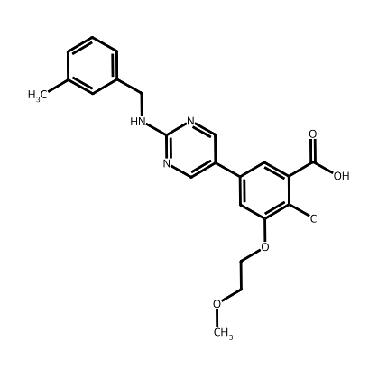 COCCOc1cc(-c2cnc(NCc3cccc(C)c3)nc2)cc(C(=O)O)c1Cl